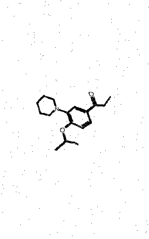 CCC(=O)c1ccc(OC(C)C)c(N2CCCCC2)c1